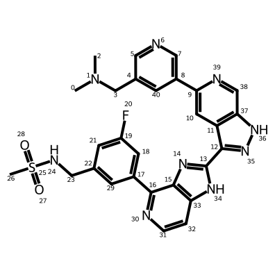 CN(C)Cc1cncc(-c2cc3c(-c4nc5c(-c6cc(F)cc(CNS(C)(=O)=O)c6)nccc5[nH]4)n[nH]c3cn2)c1